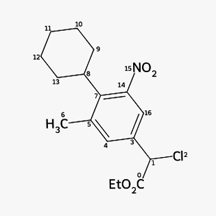 CCOC(=O)C(Cl)c1cc(C)c(C2CCCCC2)c([N+](=O)[O-])c1